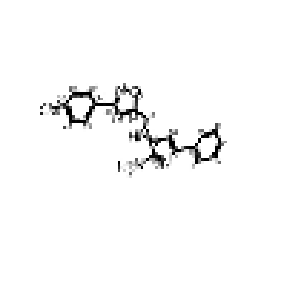 Nc1nc(-c2ccccc2)cn1NCc1nc(-c2ccc(Cl)cc2)no1